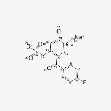 O=C(c1ccc(F)cc1)c1cc(Cl)c(Cl)cc1CS(=O)(=O)[O-].[Na+]